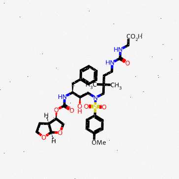 COc1ccc(S(=O)(=O)N(C[C@@H](O)[C@H](Cc2ccccc2)NC(=O)O[C@H]2CO[C@H]3OCC[C@H]32)CC(C)(C)CCNC(=O)NCC(=O)O)cc1